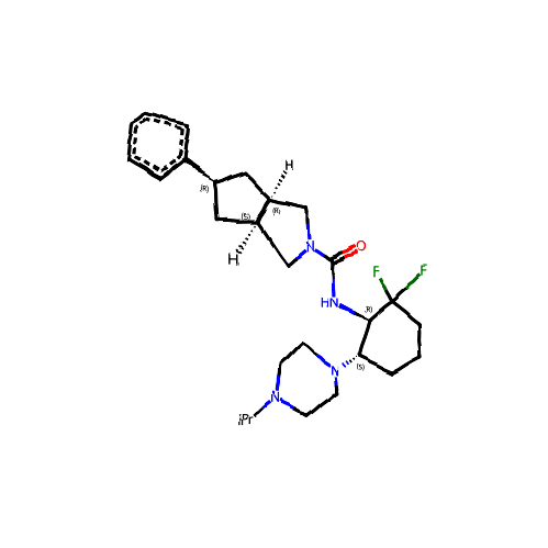 CC(C)N1CCN([C@H]2CCCC(F)(F)[C@@H]2NC(=O)N2C[C@H]3C[C@@H](c4ccccc4)C[C@H]3C2)CC1